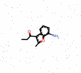 CCC(=O)c1c(C)oc2c(N)cccc12